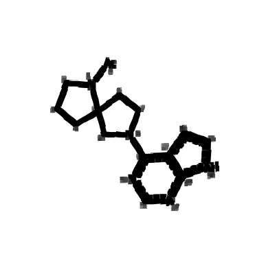 CC(=O)N1CCCC12CCN(c1ncnc3[nH]ccc13)C2